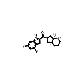 O=C(c1cc2c(F)cc(F)cc2[nH]1)N1C[C@@H]2CCCN[C@@H]2C1